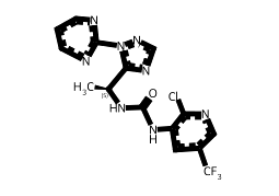 C[C@H](NC(=O)Nc1cc(C(F)(F)F)cnc1Cl)c1ncnn1-c1ncccn1